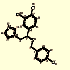 Clc1ccc(CSC(Cn2ccnc2)c2ccc(Cl)c(Cl)c2)cc1